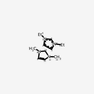 CCn1cc[n+](CC)c1.CN1C=CN(C)C1